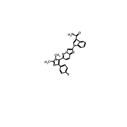 Cc1nc(-c2ccc(F)cc2)c(-c2ccc3nc(-n4cc(C(N)=O)c5ccccc54)cn3n2)n1C